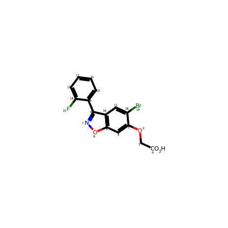 O=C(O)COc1cc2onc(-c3ccccc3F)c2cc1Br